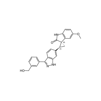 COc1ccc2c(c1)[C@]1(C[C@H]1c1ccc3c(-c4cccc(CO)c4)n[nH]c3c1)C(=O)N2